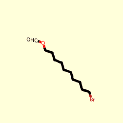 O=COCCCCCCCCCCBr